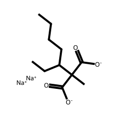 CCCCC(CC)C(C)(C(=O)[O-])C(=O)[O-].[Na+].[Na+]